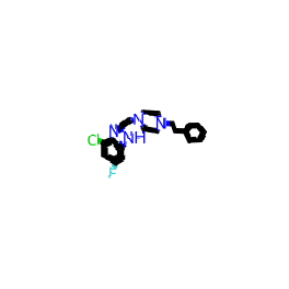 Fc1cc(Cl)c2nc(CN3CCN(CCc4ccccc4)CC3)[nH]c2c1